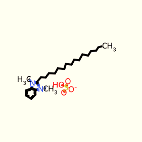 CCCCCCCCCCCCCCCCc1n(C)c2ccccc2[n+]1C.O=S(=O)([O-])O